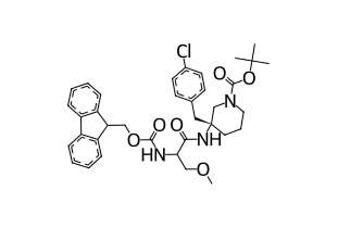 COCC(NC(=O)OCC1c2ccccc2-c2ccccc21)C(=O)N[C@@]1(Cc2ccc(Cl)cc2)CCCN(C(=O)OC(C)(C)C)C1